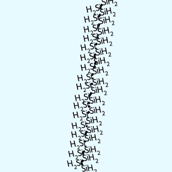 [SiH3][SiH2][SiH2][SiH2][SiH2][SiH2][SiH2][SiH2][SiH2][SiH2][SiH2][SiH2][SiH2][SiH2][SiH2][SiH2][SiH2][SiH2][SiH2][SiH2][SiH2][SiH2][SiH2][SiH2][SiH2][SiH2][SiH2][SiH2][SiH2][SiH2][SiH2][SiH2][SiH2][SiH2][SiH2][SiH3]